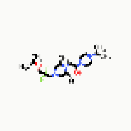 CC(C)OCC(F)(F)CN1CC(C)N(CC(O)N2CCN(C(C)C)CC2)C(C)C1